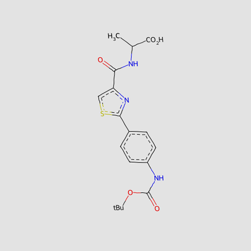 CC(NC(=O)c1csc(-c2ccc(NC(=O)OC(C)(C)C)cc2)n1)C(=O)O